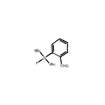 CC(C)(C)[Si](F)(c1ccccc1C=O)C(C)(C)C